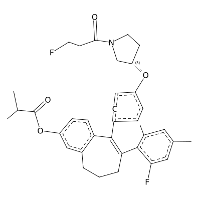 Cc1cc(C)c(C2=C(c3ccc(O[C@H]4CCN(C(=O)CCF)C4)cc3)c3ccc(OC(=O)C(C)C)cc3CCC2)c(F)c1